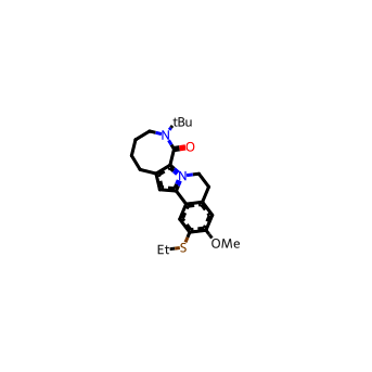 CCSc1cc2c(cc1OC)CCn1c-2cc2c1C(=O)N(C(C)(C)C)CCCC2